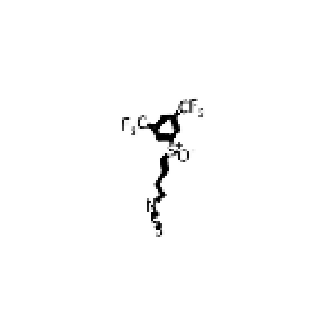 [O-][S+](C=CCCN=C=S)c1cc(C(F)(F)F)cc(C(F)(F)F)c1